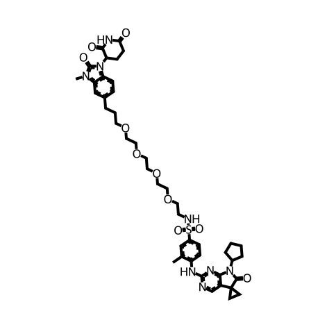 Cc1cc(S(=O)(=O)NCCOCCOCCOCCOCCCc2ccc3c(c2)n(C)c(=O)n3C2CCC(=O)NC2=O)ccc1Nc1ncc2c(n1)N(C1CCCC1)C(=O)C21CC1